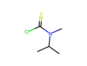 CC(C)N(C)C(=S)Cl